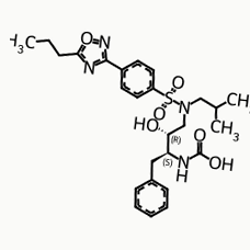 CCCc1nc(-c2ccc(S(=O)(=O)N(CC(C)C)C[C@@H](O)[C@H](Cc3ccccc3)NC(=O)O)cc2)no1